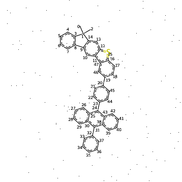 CC1(C)c2ccccc2-c2cc3c(cc21)sc1ccc(-c2ccc(-c4c5ccccc5c(-c5ccccc5)c5ccccc45)cc2)cc13